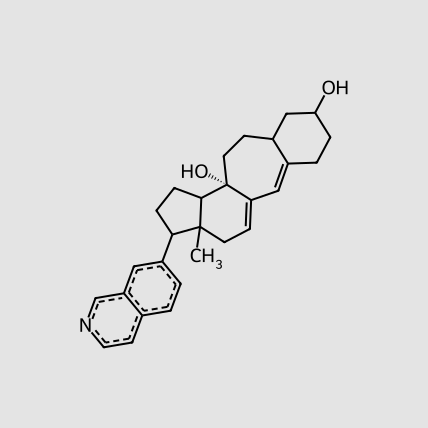 CC12CC=C3C=C4CCC(O)CC4CC[C@]3(O)C1CCC2c1ccc2ccncc2c1